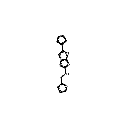 c1csc(CNc2nn3cc(-c4ccsc4)nc3s2)c1